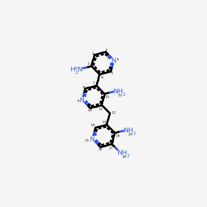 Nc1ccncc1-c1cncc(Cc2cncc(N)c2N)c1N